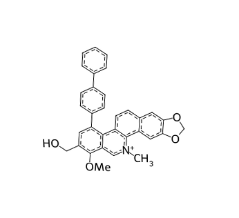 COc1c(CO)cc(-c2ccc(-c3ccccc3)cc2)c2c1c[n+](C)c1c3cc4c(cc3ccc21)OCO4